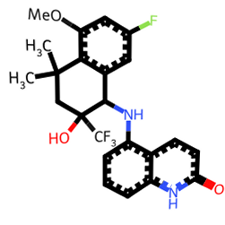 COc1cc(F)cc2c1C(C)(C)CC(O)(C(F)(F)F)C2Nc1cccc2[nH]c(=O)ccc12